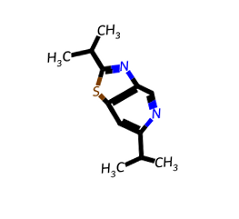 CC(C)c1cc2sc(C(C)C)nc2cn1